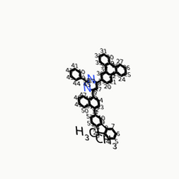 CC1(C)c2ccccc2-c2cc(-c3ccc(-c4cc(-c5ccc6c7ccccc7c7ccccc7c6c5)nc(-c5ccccc5)n4)c4ccccc34)ccc21